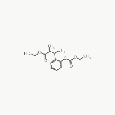 CCOC(=O)Oc1ccccc1C(C)C(C)C(=O)OCC